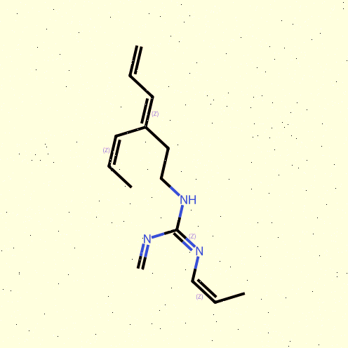 C=C/C=C(\C=C/C)CCN/C(N=C)=N/C=C\C